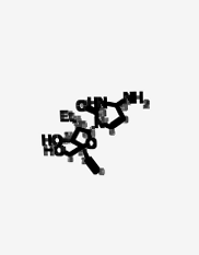 C#C[C@]1(CO)O[C@@H](N2C=CC(N)NC2=O)[C@@H](CC)[C@@H]1O